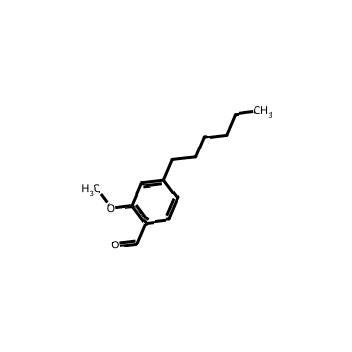 CCCCCCc1ccc(C=O)c(OC)c1